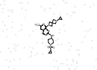 Cc1cc2cnc(NC3CCN(S(=O)(=O)C4CC4)CC3)nc2c(N2CC3(C2)CN(C2CC2)C3)n1